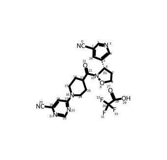 N#Cc1cncc([C@@H]2CCON2C(=O)C2CCN(c3cc(C#N)ncn3)CC2)c1.O=C(O)C(F)(F)F